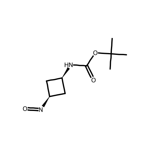 CC(C)(C)OC(=O)N[C@H]1C[C@@H](N=O)C1